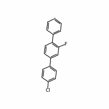 Fc1cc(-c2ccc(Cl)cc2)ccc1-c1cc[c]cc1